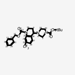 CC(C)(C)OC(=O)N1CCN(C2CCN(C(=O)OCc3ccccc3)c3cc(C(F)(F)F)ccc32)CC1